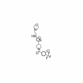 O=C(c1ccc(C(F)(F)F)c(Cl)c1)N1CCC(c2cc(NCCN3CCOCC3)on2)CC1